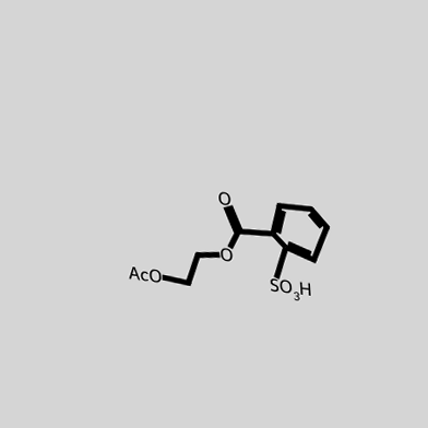 CC(=O)OCCOC(=O)c1ccccc1S(=O)(=O)O